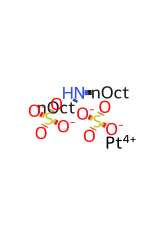 CCCCCCCCNCCCCCCCC.O=S(=O)([O-])[O-].O=S(=O)([O-])[O-].[Pt+4]